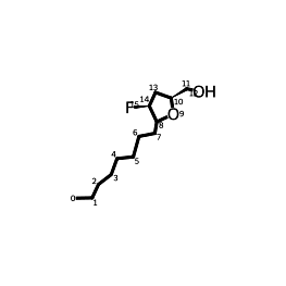 CCCCCCCCC1O[C@H](CO)C[C@@H]1F